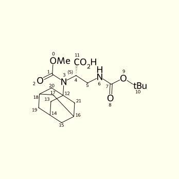 COC(=O)N([C@@H](CNC(=O)OC(C)(C)C)C(=O)O)C12CC3CC(CC(C3)C1)C2